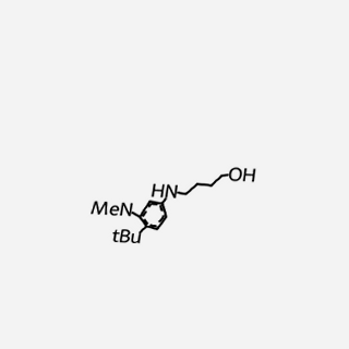 CNc1cc(NCCCCO)ccc1C(C)(C)C